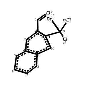 O=Cc1cc2ccccc2cc1C(Cl)(Cl)Br